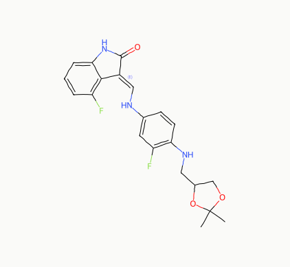 CC1(C)OCC(CNc2ccc(N/C=C3/C(=O)Nc4cccc(F)c43)cc2F)O1